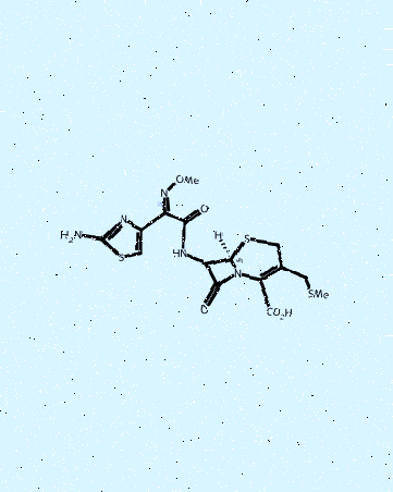 CO/N=C(\C(=O)NC1C(=O)N2C(C(=O)O)=C(CSC)CS[C@H]12)c1csc(N)n1